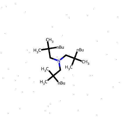 CCCCC(C)(C)CN(CC(C)(C)CCCC)CC(C)(C)CCCC